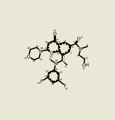 C[C@H](c1cc(C(=O)N(C)CCO)cc2c(=O)cc(N3CCOCC3)oc12)N(C)c1cc(F)cc(F)c1